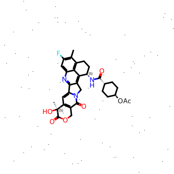 CC(=O)O[C@H]1CC[C@H](C(=O)N[C@H]2CCc3c(C)c(F)cc4nc5c(c2c34)Cn2c-5cc3c(c2=O)COC(=O)[C@@]3(C)O)CC1